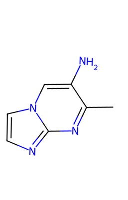 Cc1nc2nccn2cc1N